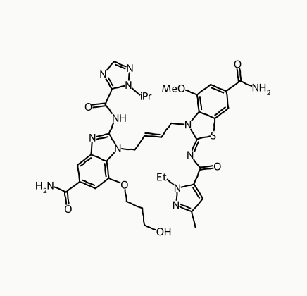 CCn1nc(C)cc1C(=O)/N=c1\sc2cc(C(N)=O)cc(OC)c2n1C/C=C/Cn1c(NC(=O)c2ncnn2C(C)C)nc2cc(C(N)=O)cc(OCCCO)c21